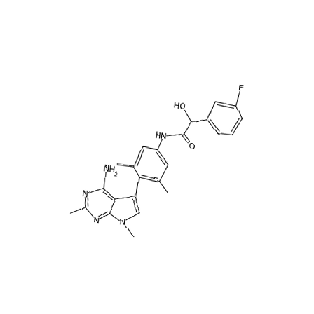 Cc1nc(N)c2c(-c3c(C)cc(NC(=O)C(O)c4cccc(F)c4)cc3C)cn(C)c2n1